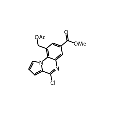 COC(=O)c1cc(COC(C)=O)c2c(c1)nc(Cl)c1cccn12